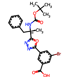 CC(C)(C)OC(=O)N[C@@](C)(Cc1ccccc1)c1nnc(-c2cc(Br)cc(C(=O)O)c2)o1